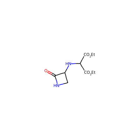 CCOC(=O)C(NC1CNC1=O)C(=O)OCC